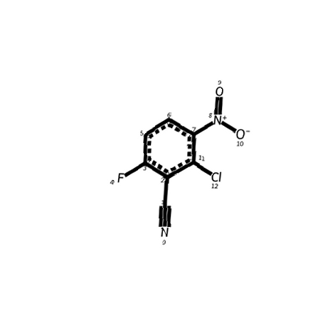 N#Cc1c(F)ccc([N+](=O)[O-])c1Cl